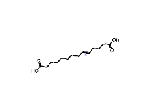 O=C(O)CCC/C=C/CCCCCCCC(=O)O